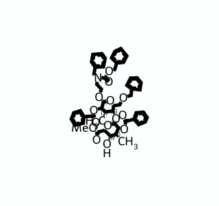 COC(=O)C1O[C@@H](O[C@@H]2C(COCc3ccccc3)O[C@@H](OCCN(Cc3ccccc3)C(=O)OCc3ccccc3)C(OC(=O)c3ccccc3)[C@H]2C)C(OC(=O)c2ccccc2)[C@@H](C)[C@@H]1O